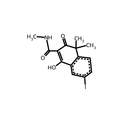 CNC(=O)C1=C(O)c2cc(I)ccc2C(C)(C)C1=O